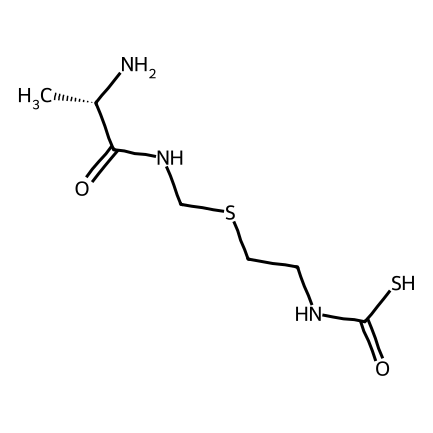 C[C@H](N)C(=O)NCSCCNC(=O)S